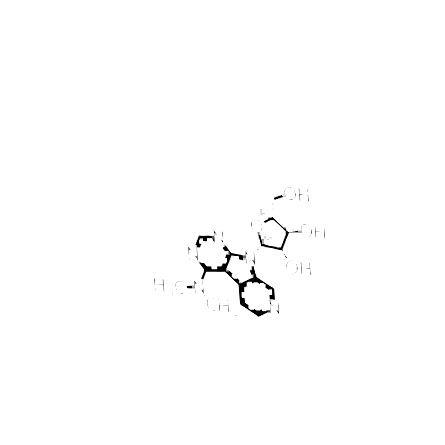 CN(C)c1ncnc2c1c1ccncc1n2[C@@H]1O[C@H](CO)[C@@H](O)[C@H]1O